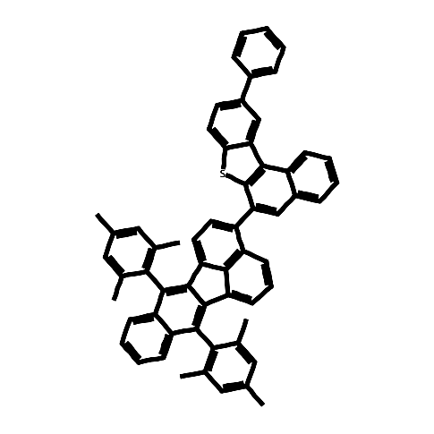 Cc1cc(C)c(-c2c3c(c(-c4c(C)cc(C)cc4C)c4ccccc24)-c2ccc(-c4cc5ccccc5c5c4sc4ccc(-c6ccccc6)cc45)c4cccc-3c24)c(C)c1